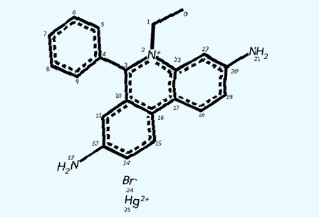 CC[n+]1c(-c2ccccc2)c2cc(N)ccc2c2ccc(N)cc21.[Br-].[Hg+2]